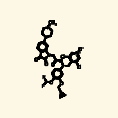 CN1CCN(c2ccc3c(c2)N(CC(=O)O[C@@H](Cc2c(Cl)c[n+]([O-])cc2Cl)c2ccc(OC(F)F)c(OCC4CC4)c2)C(=O)C3=O)CC1